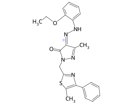 CCOc1ccccc1N/N=C1/C(=O)N(Cc2nc(-c3ccccc3)c(C)s2)N=C1C